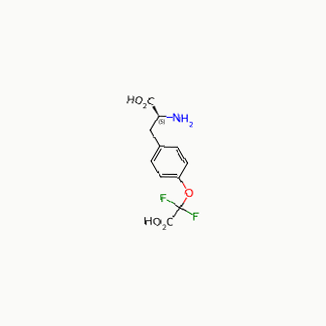 N[C@@H](Cc1ccc(OC(F)(F)C(=O)O)cc1)C(=O)O